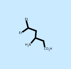 CCC(CC)CC(N)CC(=O)O